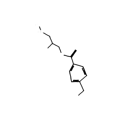 CC(C)NCC(O)COC(=O)c1ccc(CO)cc1.Cl